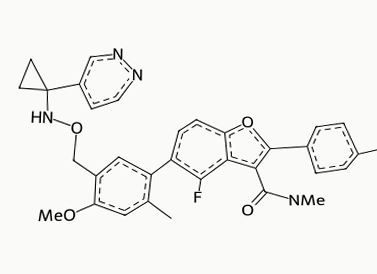 CNC(=O)c1c(-c2ccc(F)cc2)oc2ccc(-c3cc(CONC4(c5ccnnc5)CC4)c(OC)cc3C)c(F)c12